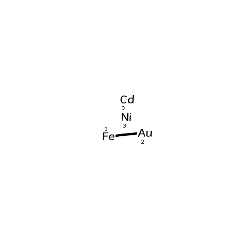 [Cd].[Fe][Au].[Ni]